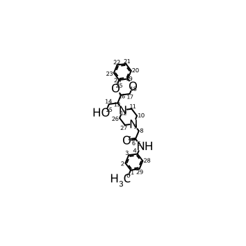 Cc1ccc(NC(=O)CN2CCN(C(CO)C3COc4ccccc4O3)CC2)cc1